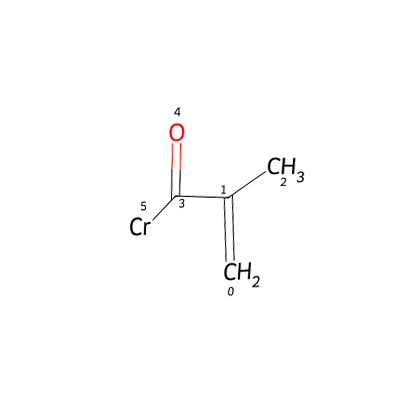 C=C(C)[C](=O)[Cr]